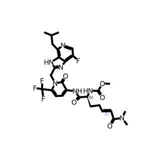 COC(=O)N[C@@H](CC/C=C/C(=O)N(C)C)C(=O)Nc1ccc(C(F)(F)F)n(Cc2nc3c(F)cnc(CC(C)C)c3[nH]2)c1=O